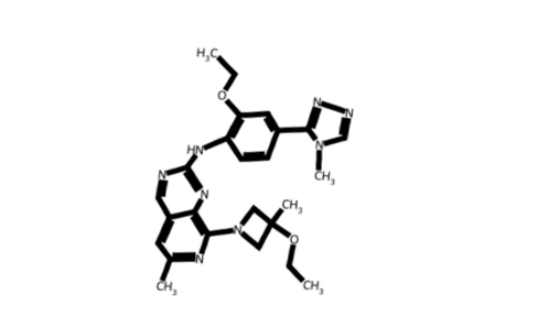 CCOc1cc(-c2nncn2C)ccc1Nc1ncc2cc(C)nc(N3CC(C)(OCC)C3)c2n1